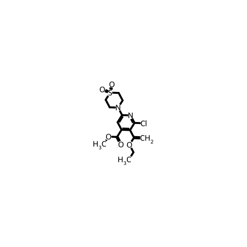 C=C(OCC)c1c(C(=O)OC)cc(N2CCS(=O)(=O)CC2)nc1Cl